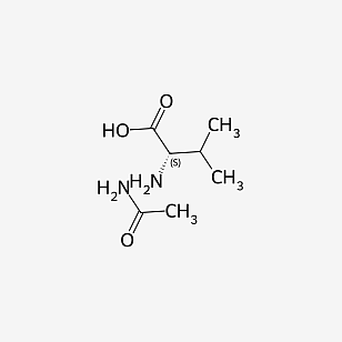 CC(C)[C@H](N)C(=O)O.CC(N)=O